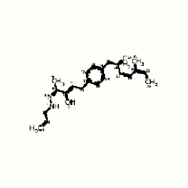 C=CCN/N=C(C)\C(O)=C\Cc1ccc(CC(=C)/C=C\C(C)=C/C)cc1